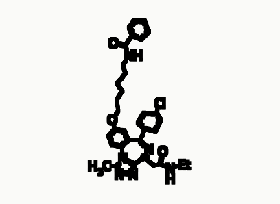 CCNC(=O)C[C@@H]1N=C(c2ccc(Cl)cc2)c2cc(OCCCCCCNC(=O)c3ccccc3)ccc2-n2c(C)nnc21